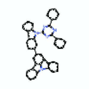 c1ccc(-c2nc(-c3ccccc3)nc(-n3c4ccccc4c4ccc(-c5cc6c7ccccc7n7c8ccccc8c(c5)c67)cc43)n2)cc1